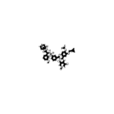 COc1cccc(C(NS(=O)(=O)c2cccc(C(=O)O[C@@H](Cc3c(Cl)c[n+]([O-])cc3Cl)c3ccc(OC(F)F)c(OCC4CC4)c3)c2)C(=O)O[C@H]2CN3CCC2CC3)c1